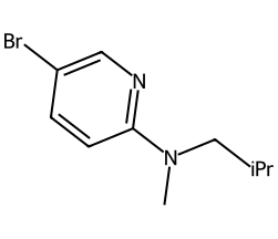 CC(C)CN(C)c1ccc(Br)cn1